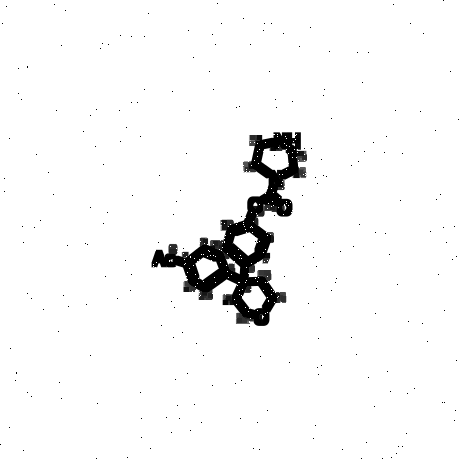 CC(=O)c1ccc(C2(c3ccc(OC(=O)N4CCNCC4)cc3)CCOCC2)cc1